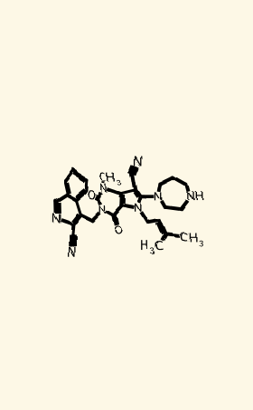 CC(C)=CCn1c(N2CCCNCC2)c(C#N)c2c1c(=O)n(Cc1c(C#N)ncc3ccccc13)c(=O)n2C